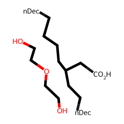 CCCCCCCCCCCCCCC(CCCCCCCCCCCC)CC(=O)O.OCCOCCO